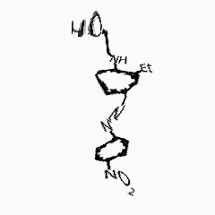 CCc1cc(N=Nc2ccc([N+](=O)[O-])cc2)ccc1NCCO